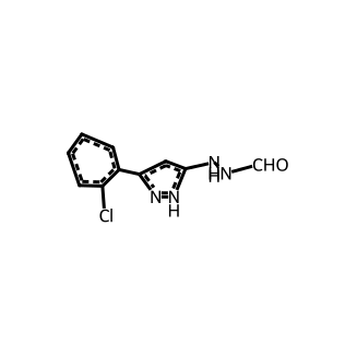 O=CNNc1cc(-c2ccccc2Cl)n[nH]1